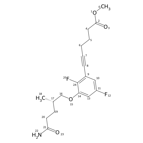 COC(=O)CCCC#Cc1cc(F)cc(OC[C@@H](C)CCC(N)=O)c1F